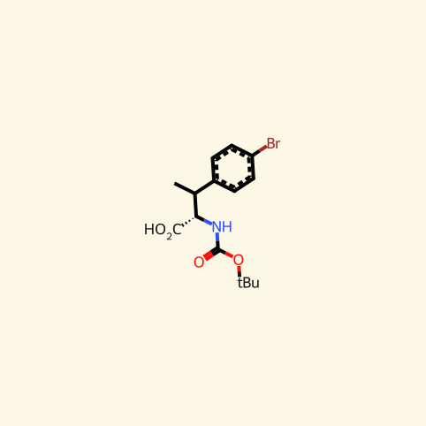 CC(c1ccc(Br)cc1)[C@H](NC(=O)OC(C)(C)C)C(=O)O